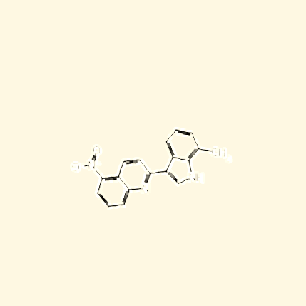 Cc1cccc2c(-c3ccc4c([N+](=O)[O-])cccc4n3)c[nH]c12